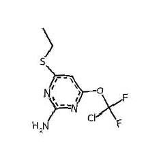 CCSc1cc(OC(F)(F)Cl)nc(N)n1